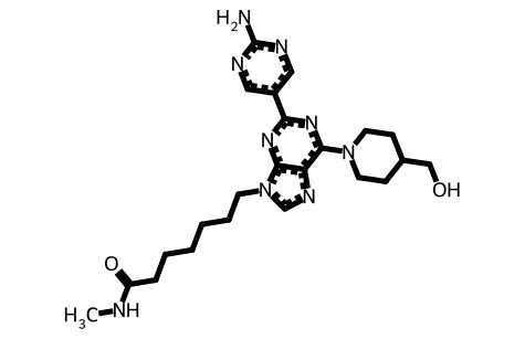 CNC(=O)CCCCCCn1cnc2c(N3CCC(CO)CC3)nc(-c3cnc(N)nc3)nc21